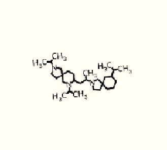 CC(C)C1CCCC2(CCN(C(C)CC3CCC4(CCN(C(C)C)C4)CN3C(C)C)C2)C1